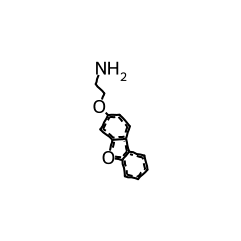 NCCOc1ccc2c(c1)oc1ccccc12